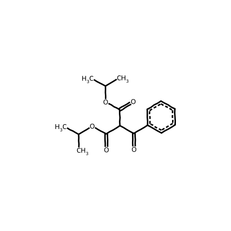 CC(C)OC(=O)C(C(=O)OC(C)C)C(=O)c1ccccc1